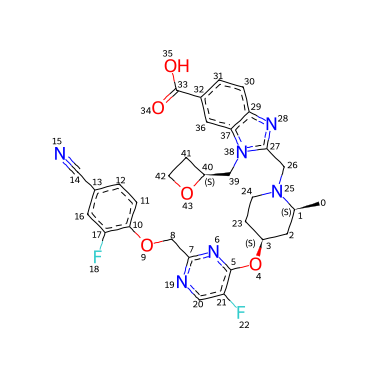 C[C@H]1C[C@@H](Oc2nc(COc3ccc(C#N)cc3F)ncc2F)CCN1Cc1nc2ccc(C(=O)O)cc2n1C[C@@H]1CCO1